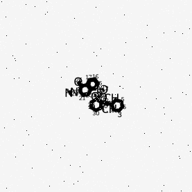 CC(C)(C1CCCCC1)C1(OS(=O)(=O)c2cccc3c2C=CC(=[N+]=[N-])C3=O)CCCCC1